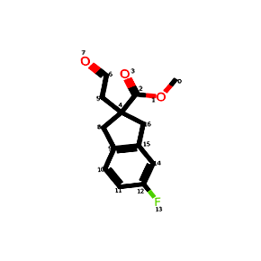 COC(=O)C1(CC=O)Cc2ccc(F)cc2C1